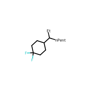 CCCCCC(CC)C1CCC(F)(F)CC1